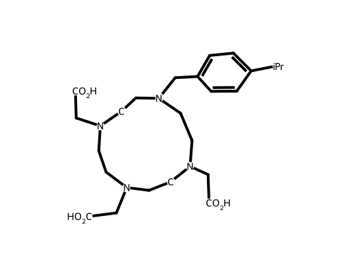 CC(C)c1ccc(CN2CCN(CC(=O)O)CCN(CC(=O)O)CCN(CC(=O)O)CC2)cc1